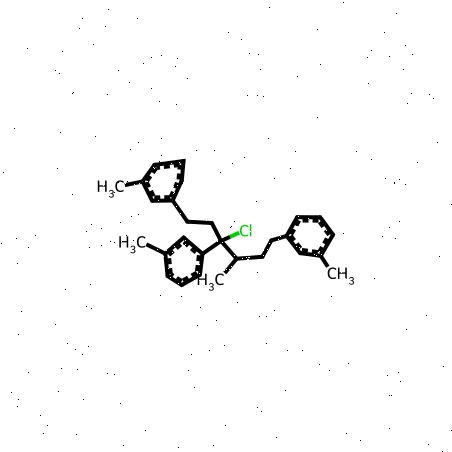 Cc1cccc(CCC(C)C(Cl)(CCc2cccc(C)c2)c2cccc(C)c2)c1